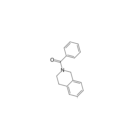 O=C(c1ccccc1)N1CCc2c[c]ccc2C1